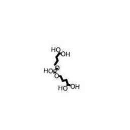 OC(O)CCCOP(O)OCCCC(O)O